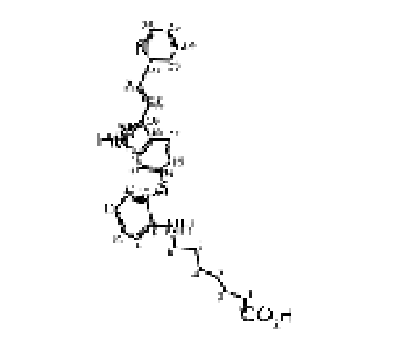 O=C(O)CCCCCCNc1ccccc1Sc1ccc2c(C=Cc3ccccn3)n[nH]c2c1